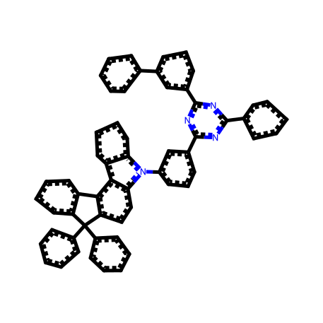 c1ccc(-c2cccc(-c3nc(-c4ccccc4)nc(-c4cccc(-n5c6ccccc6c6c7c(ccc65)C(c5ccccc5)(c5ccccc5)c5ccccc5-7)c4)n3)c2)cc1